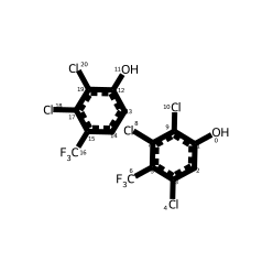 Oc1cc(Cl)c(C(F)(F)F)c(Cl)c1Cl.Oc1ccc(C(F)(F)F)c(Cl)c1Cl